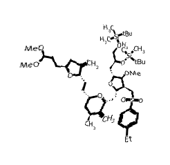 C=C1C[C@H](CCC(OC)OC)O[C@H]1CC[C@H]1C[C@H](C)C(=C)[C@@H](C[C@@H]2O[C@H](C[C@@H](CO[Si](C)(C)C(C)(C)C)O[Si](C)(C)C(C)(C)C)[C@@H](OC)[C@H]2CS(=O)(=O)c2ccc(CC)cc2)O1